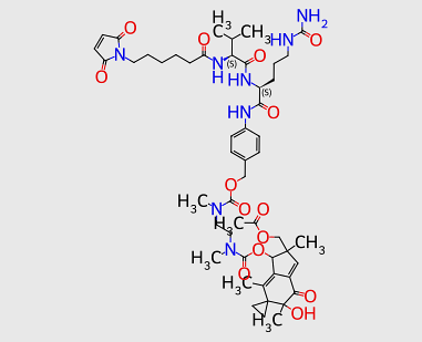 CC(=O)OCC1(C)C=C2C(=O)C(C)(O)C3(CC3)C(C)=C2C1OC(=O)N(C)CCN(C)C(=O)OCc1ccc(NC(=O)[C@H](CCCNC(N)=O)NC(=O)[C@@H](NC(=O)CCCCCN2C(=O)C=CC2=O)C(C)C)cc1